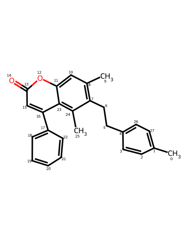 Cc1ccc(CCc2c(C)cc3oc(=O)cc(-c4ccccc4)c3c2C)cc1